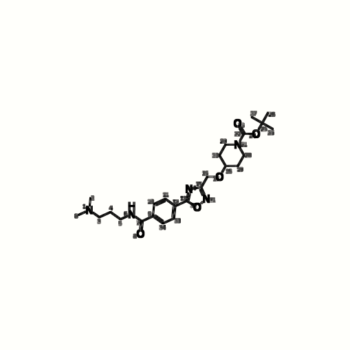 CN(C)CCCNC(=O)c1ccc(-c2nc(COC3CCN(C(=O)OC(C)(C)C)CC3)no2)cc1